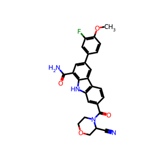 COc1ccc(-c2cc(C(N)=O)c3[nH]c4cc(C(=O)N5CCOCC5C#N)ccc4c3c2)cc1F